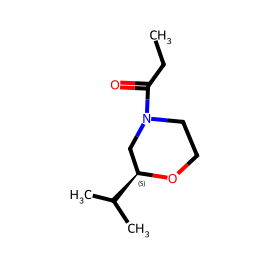 CCC(=O)N1CCO[C@@H](C(C)C)C1